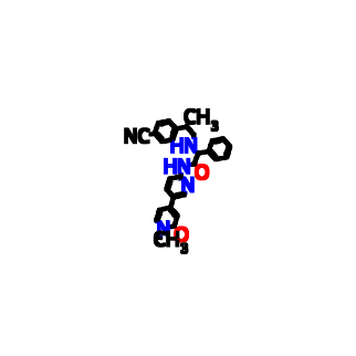 CC(CNC(C(=O)Nc1ccc(-c2ccn(C)c(=O)c2)cn1)c1ccccc1)c1ccc(C#N)cc1